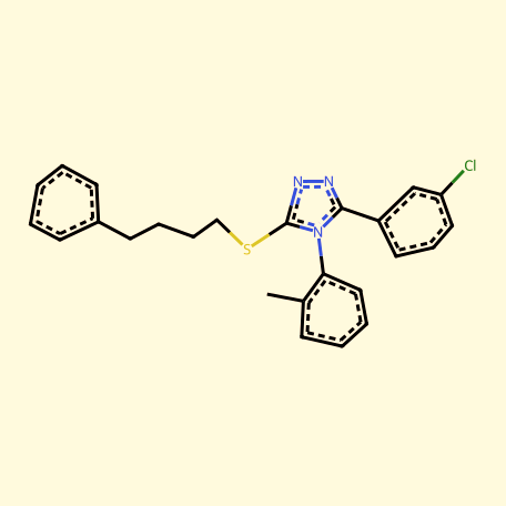 Cc1ccccc1-n1c(SCCCCc2ccccc2)nnc1-c1cccc(Cl)c1